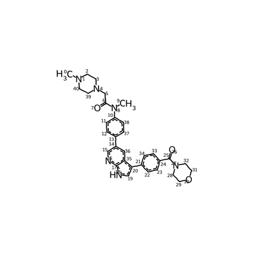 CN1CCN(CC(=O)N(C)c2ccc(-c3cnc4[nH]cc(-c5ccc(C(=O)N6CCOCC6)cc5)c4c3)cc2)CC1